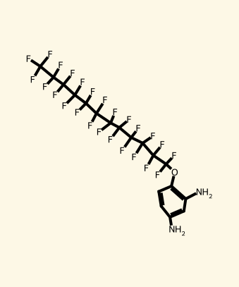 Nc1ccc(OC(F)(F)C(F)(F)C(F)(F)C(F)(F)C(F)(F)C(F)(F)C(F)(F)C(F)(F)C(F)(F)C(F)(F)C(F)(F)C(F)(F)F)c(N)c1